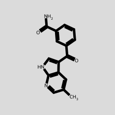 Cc1cnc2[nH]cc(C(=O)c3cccc(C(N)=O)c3)c2c1